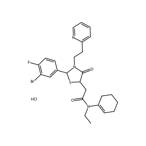 CCN(C(=O)CC1SC(c2ccc(F)c(Br)c2)N(CCc2ccccn2)C1=O)C1=CCCCC1.Cl